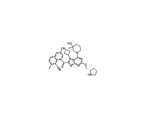 C#Cc1c(F)ccc2cc(O)cc(C(=O)c3nc4nc(OC[C@@H]5CCCN5)nc(N5CCC[C@@](C)(O)C5)c4n3C3CCC3)c12